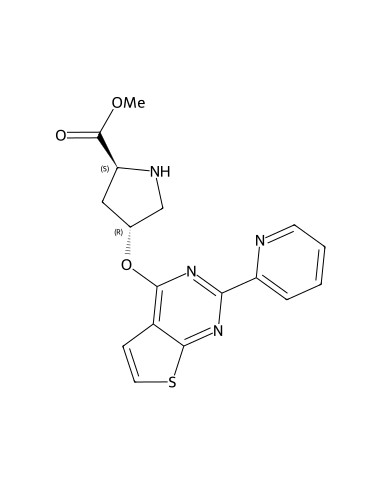 COC(=O)[C@@H]1C[C@@H](Oc2nc(-c3ccccn3)nc3sccc23)CN1